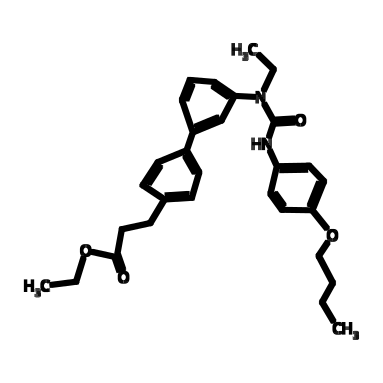 CCCCOc1ccc(NC(=O)N(CC)c2cccc(-c3ccc(CCC(=O)OCC)cc3)c2)cc1